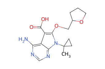 CC1(n2c(OCC3CCCO3)c(C(=O)O)c3c(N)ncnc32)CC1